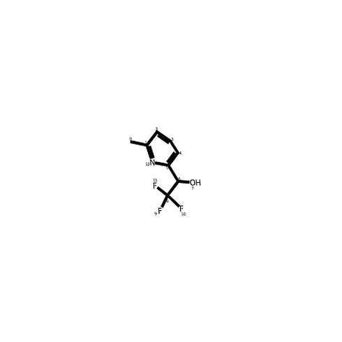 Cc1cccc(C(O)C(F)(F)F)n1